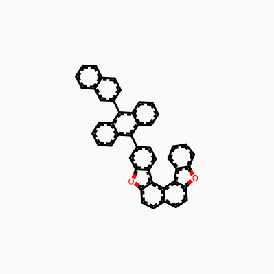 c1ccc2cc(-c3c4ccccc4c(-c4ccc5c(c4)oc4ccc6ccc7oc8ccccc8c7c6c45)c4ccccc34)ccc2c1